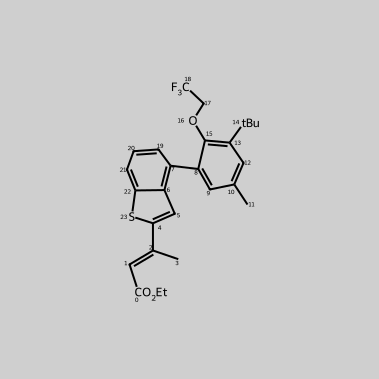 CCOC(=O)/C=C(\C)c1cc2c(-c3cc(C)cc(C(C)(C)C)c3OCC(F)(F)F)cccc2s1